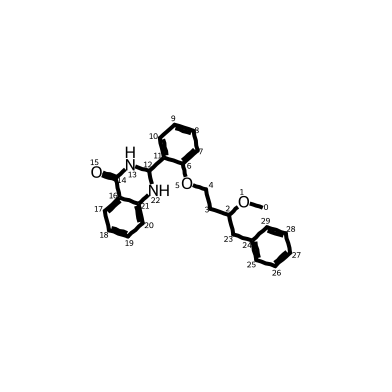 COC(CCOc1ccccc1C1NC(=O)c2ccccc2N1)Cc1ccccc1